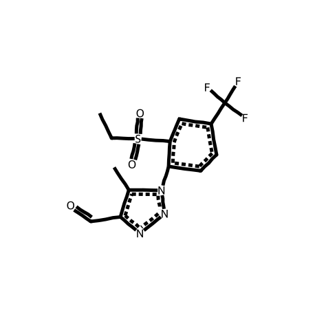 CCS(=O)(=O)c1cc(C(F)(F)F)ccc1-n1nnc(C=O)c1C